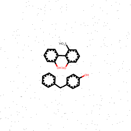 O=S(=O)(O)c1cccc(O)c1-c1ccccc1O.Oc1ccc(Cc2ccccc2)cc1